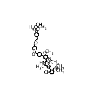 COc1cc2nc(C)nc(N[C@H](C)c3cc(-c4c(Cl)cccc4CN(C)C)cs3)c2cc1C1CCC(C(=O)N2CCC(COCCC3CCN(C(=O)OC(C)(C)C)CC3)CC2)CC1